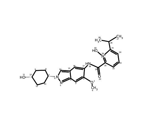 COc1cc2nn([C@H]3CC[C@@H](O)CC3)cc2cc1NC(=O)c1cccc(C(C)C)[n+]1O